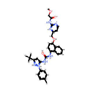 COCC(=O)Nc1nccc(COc2ccc(NC(=O)Nc3cc(C(C)(C)C)nn3-c3ccc(C)cc3)c3ccccc23)n1